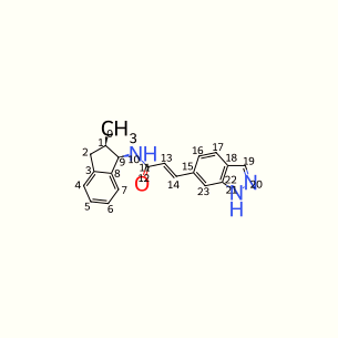 C[C@@H]1Cc2ccccc2[C@@H]1NC(=O)/C=C/c1ccc2cn[nH]c2c1